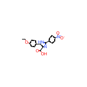 CCOc1ccc(-c2[nH]c(-c3ccc([N+](=O)[O-])cc3)nc2C(=O)O)cc1